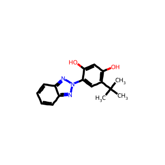 CC(C)(C)c1cc(-n2nc3ccccc3n2)c(O)cc1O